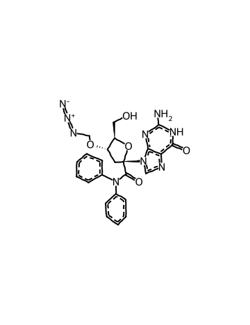 [N-]=[N+]=NCO[C@H]1C[C@](C(=O)N(c2ccccc2)c2ccccc2)(n2cnc3c(=O)[nH]c(N)nc32)O[C@@H]1CO